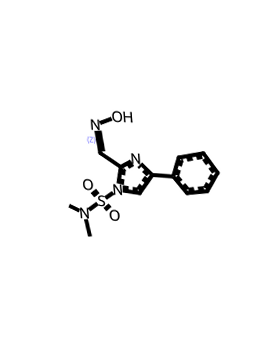 CN(C)S(=O)(=O)n1cc(-c2ccccc2)nc1/C=N\O